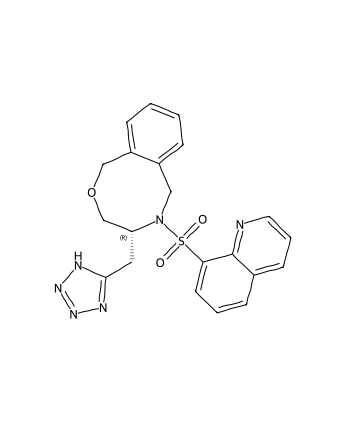 O=S(=O)(c1cccc2cccnc12)N1Cc2ccccc2COC[C@H]1Cc1nnn[nH]1